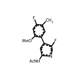 COc1cc(F)c(C)cc1-c1cc(NC(C)=O)ncc1F